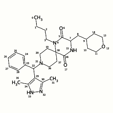 CCCCN1C(=O)C(CC2CCOCC2)NC(=O)C12CCN(C(c1ccccc1)c1c(C)n[nH]c1C)CC2